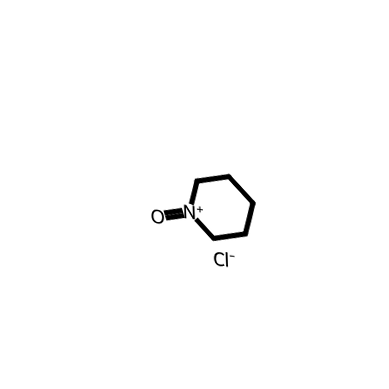 O=[N+]1CCCCC1.[Cl-]